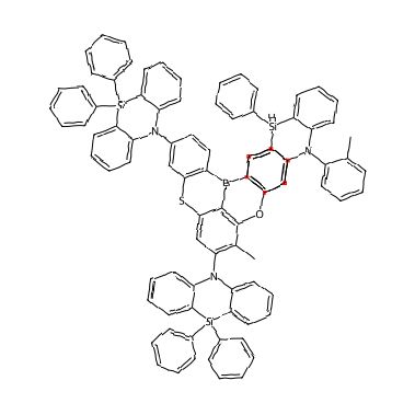 Cc1ccccc1N(c1ccc2c(c1)Oc1c(C)c(N3c4ccccc4[Si](c4ccccc4)(c4ccccc4)c4ccccc43)cc3c1B2c1ccc(N2c4ccccc4[Si](c4ccccc4)(c4ccccc4)c4ccccc42)cc1S3)c1ccccc1[SiH](c1ccccc1)c1ccccc1